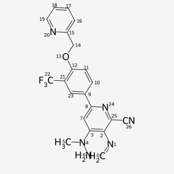 C=Nc1c(N(C)N)cc(-c2ccc(OCc3ccccn3)c(C(F)(F)F)c2)nc1C#N